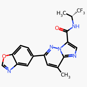 Cc1cc(-c2ccc3ocnc3c2)nn2c(C(=O)N[C@H](C)C(F)(F)F)cnc12